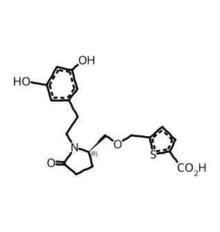 O=C(O)c1ccc(COC[C@H]2CCC(=O)N2CCc2cc(O)cc(O)c2)s1